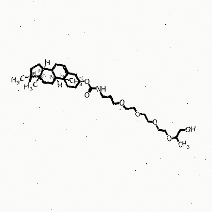 CC(CO)OCCOCCOCCOCCCNC(=O)O[C@H]1CC[C@@]2(C)C(=CCC3[C@@H]2CC[C@@]2(C)[C@H]3CC[C@@]2(C)I)C1